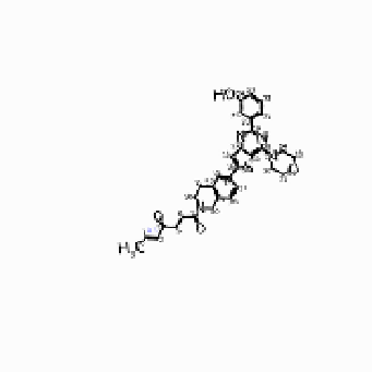 C/C=C/C(=O)CCC(=O)N1CCc2cc(-c3cc4nc(-c5cccc(O)c5)nc(N5CCOCC5)c4s3)ccc2C1